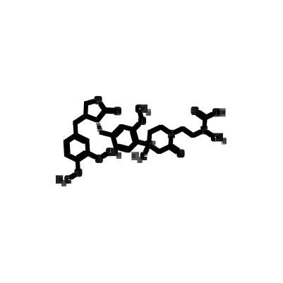 COc1ccc(CC2COC(=O)[C@@H]2Cc2ccc([N+]3(C)CCN(CCN(C)C(=O)O)C(=O)C3)c(OC)c2)cc1OC